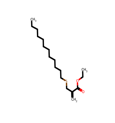 C=C(CSCCCCCCCCCCCC)C(=O)OCC